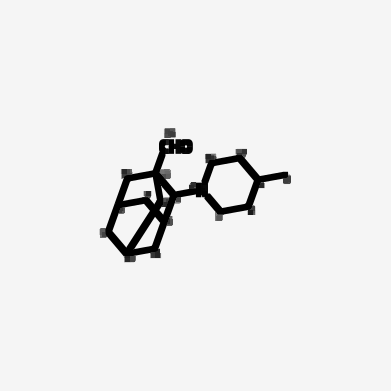 CC1CCN(C2C3CC4CC(C3)CC2(C=O)C4)CC1